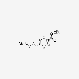 CNCCCC1CCN(C(=O)OC(C)(C)C)CC1